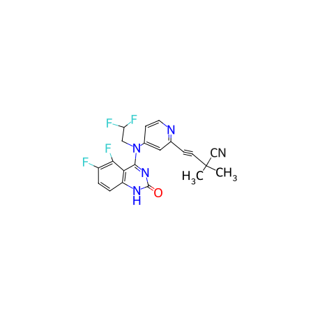 CC(C)(C#N)C#Cc1cc(N(CC(F)F)c2nc(=O)[nH]c3ccc(F)c(F)c23)ccn1